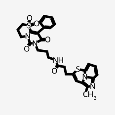 Cc1nc2cccc3n2c1C=C(CCC(=O)NCCCn1c(=O)c(-c2ccccc2)c2n(c1=O)CCCS2(=O)=O)S3